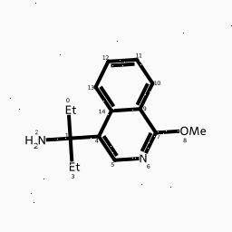 CCC(N)(CC)c1cnc(OC)c2ccccc12